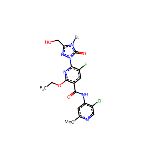 CCn1c(CO)nn(-c2nc(OCC(F)(F)F)c(C(=O)Nc3cc(OC)ncc3Cl)cc2F)c1=O